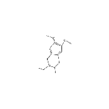 CCN1Cc2cc(OC)c(OC)cc2CC1C